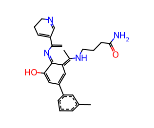 C=C(/N=C1/C(O)=CC(c2cccc(C)c2)=C/C1=C(/C)NCCCC(N)=O)C1=CCCN=C1